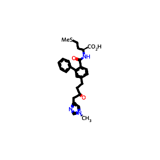 CSCC[C@H](NC(=O)c1ccc(CCC(=O)Cc2cn(C)cn2)cc1-c1ccccc1)C(=O)O